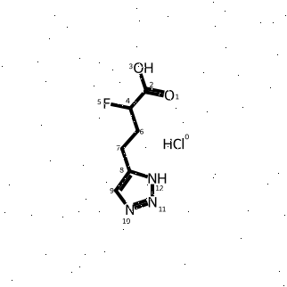 Cl.O=C(O)C(F)CCc1cnn[nH]1